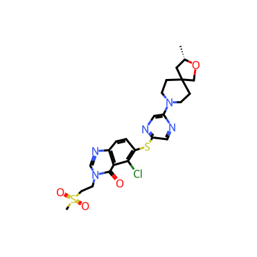 C[C@H]1CC2(CCN(c3cnc(Sc4ccc5ncn(CCS(C)(=O)=O)c(=O)c5c4Cl)cn3)CC2)CO1